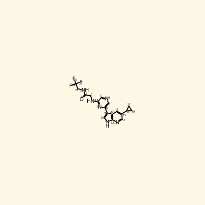 O=C(CNc1cncc(-c2c[nH]c3ncc(C4CC4)cc23)n1)NCC(F)(F)F